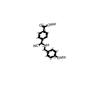 COC(=O)c1ccc(C(C#N)NCc2ccc(OC)cc2)cc1